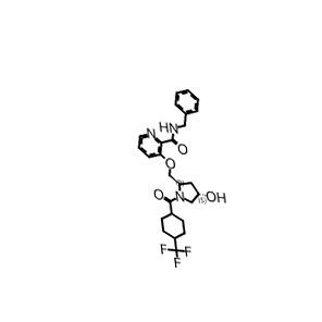 O=C(NCc1ccccc1)c1ncccc1OC[C@H]1C[C@H](O)CN1C(=O)C1CCC(C(F)(F)F)CC1